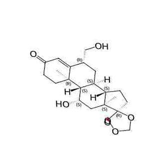 C[C@]12CCC(=O)C=C1[C@H](CO)C[C@@H]1[C@@H]2[C@@H](O)C[C@@]2(C)[C@H]1CC[C@@]21OCOC12COCO2